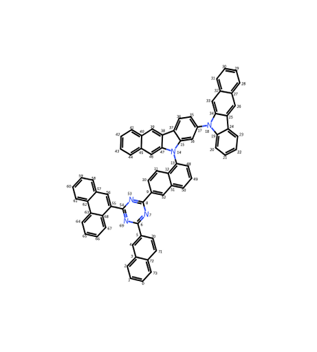 c1ccc2cc(-c3nc(-c4ccc5c(-n6c7cc(-n8c9ccccc9c9cc%10ccccc%10cc98)ccc7c7cc8ccccc8cc76)cccc5c4)nc(-c4cc5ccccc5c5ccccc45)n3)ccc2c1